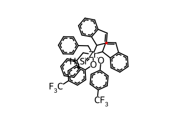 FC(F)(F)c1ccc([O][Zr](=[SiH2])([CH2]c2ccccc2)([CH2]c2ccccc2)([O]c2ccc(C(F)(F)F)cc2)([CH]2C=Cc3ccccc32)[CH]2C=Cc3ccccc32)cc1